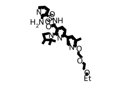 CCOCCOCCOc1ncc(-c2ccc(C(=O)NS(=O)(=O)c3cccnc3N)c(N3CCC(C)C3(C)C)n2)cc1C